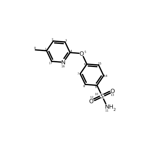 Cc1ccc(Oc2ccc(S(N)(=O)=O)cc2)nc1